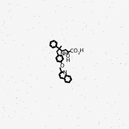 CC(Cc1ccc(OCc2ccc3ccccc3n2)cc1)(C(=N)CC(O)C(=O)O)c1ccccc1